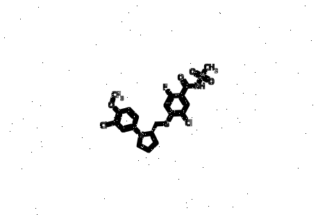 CS(=O)(=O)NC(=O)c1cc(Cl)c(SC[C@H]2CCCN2c2ccc(OC(F)(F)F)c(Cl)c2)cc1F